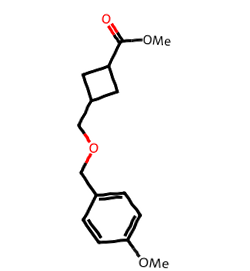 COC(=O)C1CC(COCc2ccc(OC)cc2)C1